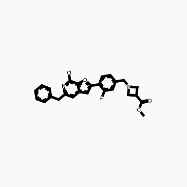 COC(=O)C1CN(Cc2ccc(-c3cc4cc(Cc5ccccc5)nc(Cl)c4o3)c(F)c2)C1